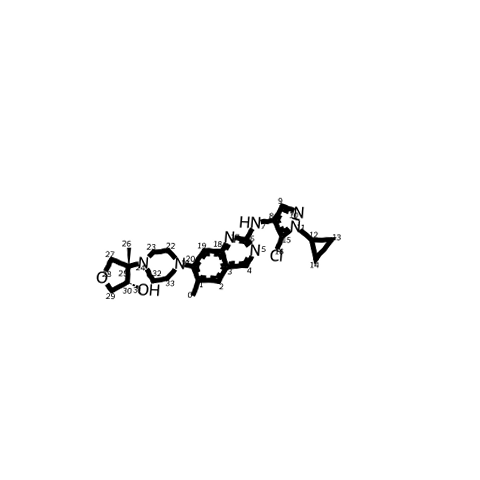 Cc1cc2cnc(Nc3cnn(C4CC4)c3Cl)nc2cc1N1CCN([C@@]2(C)COC[C@H]2O)CC1